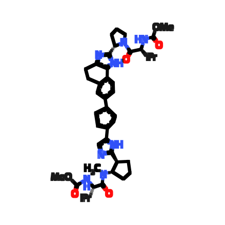 COC(=O)N[C@H](C(=O)N(C)[C@H]1CCC[C@@H]1c1ncc(-c2ccc(-c3ccc4c(c3)CCc3nc([C@@H]5CCCN5C(=O)[C@@H](NC(=O)OC)C(C)C)[nH]c3-4)cc2)[nH]1)C(C)C